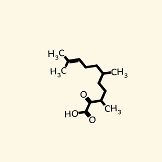 CC(C)=CCCC(C)CCC(C)C(=O)C(=O)O